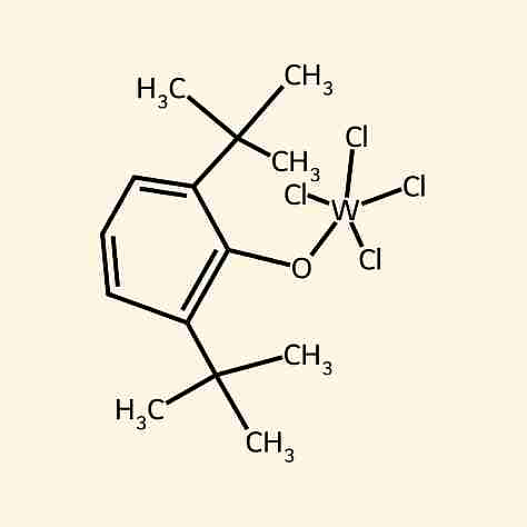 CC(C)(C)c1cccc(C(C)(C)C)c1[O][W]([Cl])([Cl])([Cl])[Cl]